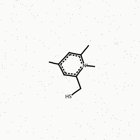 Cc1cc(C)[n+](C)c(CS)c1